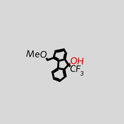 COCc1cccc2c1-c1ccccc1C2(O)C(F)(F)F